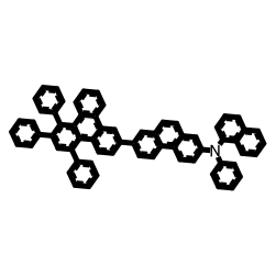 c1ccc(-c2cc(-c3ccccc3)c3c4ccc(-c5ccc6c(ccc7cc(N(c8ccccc8)c8cccc9ccccc89)ccc76)c5)cc4c4ccccc4c3c2-c2ccccc2)cc1